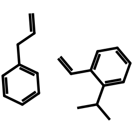 C=CCc1ccccc1.C=Cc1ccccc1C(C)C